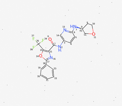 O=C(Nc1ccc(N[C@H]2CCOC2)nc1)c1nc(-c2ccccc2)oc1C(F)(F)F